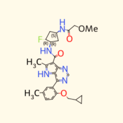 COCC(=O)N[C@@H]1C[C@@H](F)[C@H](NC(=O)c2c(C)[nH]c3c(-c4cc(C)ccc4OCC4CC4)ncnc23)C1